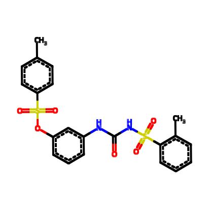 Cc1ccc(S(=O)(=O)Oc2cccc(NC(=O)NS(=O)(=O)c3ccccc3C)c2)cc1